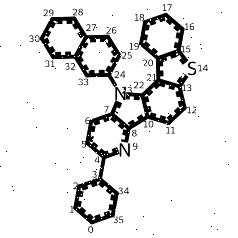 c1ccc(-c2ccc3c(n2)c2ccc4sc5ccccc5c4c2n3-c2ccc3ccccc3c2)cc1